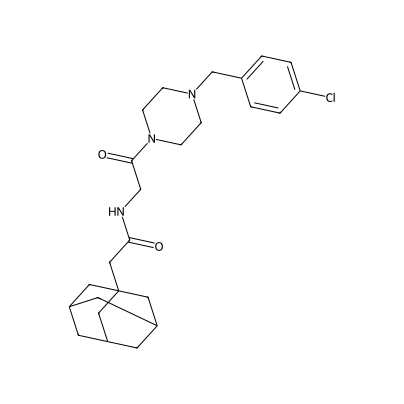 O=C(CC12CC3CC(CC(C3)C1)C2)NCC(=O)N1CCN(Cc2ccc(Cl)cc2)CC1